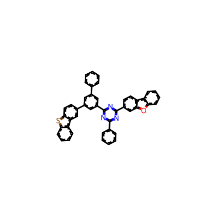 c1ccc(-c2cc(-c3ccc4sc5ccccc5c4c3)cc(-c3nc(-c4ccccc4)nc(-c4ccc5c(c4)oc4ccccc45)n3)c2)cc1